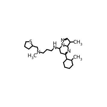 CC1C=NN2C(NCCCN(C)CC3CCCS3)CC(C3CCCCC3C)=NC12